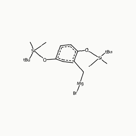 CC(C)(C)[Si](C)(C)Oc1ccc(O[Si](C)(C)C(C)(C)C)c([CH2][Mg][Br])c1